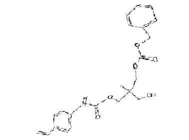 C=Cc1ccc(NC(=O)OCC(C)(CO)COC(=O)OCc2ccccc2)cc1